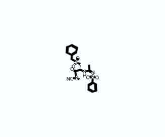 CC(=NS(=O)(=O)c1ccccc1)N[C@@H](CS(=O)(=O)Cc1ccccc1)C(=O)N(C)C#N